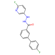 O=C(NNc1ccc(F)nc1)c1cccc(-c2ccc(F)cc2)c1